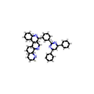 c1ccc(-c2cc(-c3ccccc3)nc(-c3cccc(-c4nc5ccccc5c5c4cnc4c5ccc5cccnc54)c3)n2)cc1